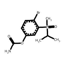 CC(C)P(C)(=O)c1cc(OC(N)=O)ccc1Br